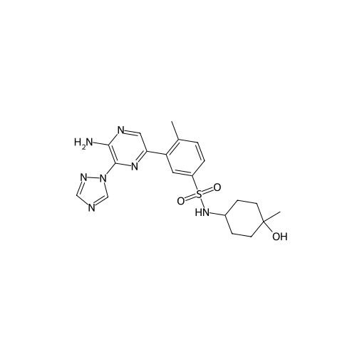 Cc1ccc(S(=O)(=O)NC2CCC(C)(O)CC2)cc1-c1cnc(N)c(-n2cncn2)n1